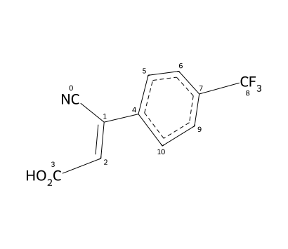 N#CC(=CC(=O)O)c1ccc(C(F)(F)F)cc1